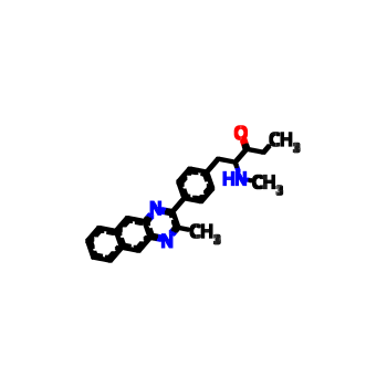 CCC(=O)C(Cc1ccc(-c2nc3cc4ccccc4cc3nc2C)cc1)NC